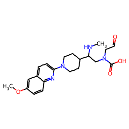 CNC(CN(CC=O)C(=O)O)C1CCN(c2ccc3cc(OC)ccc3n2)CC1